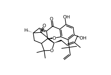 C=CC(C)(C)c1c(O)cc(O)c2c1O[C@]13C(=C[C@@H]4CC1C(C)(C)O[C@@]3(CC=C(C)C)C4=O)C2=O